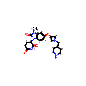 Cn1c(=O)n(C2CCC(=O)NC2=O)c2ccc(OC3CN(CC4CCNCC4)C3)cc21